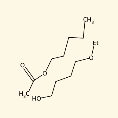 CCCCCOC(C)=O.CCOCCCCO